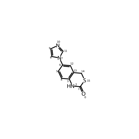 O=C1Nc2ccc(-n3ccnc3)cc2CS1